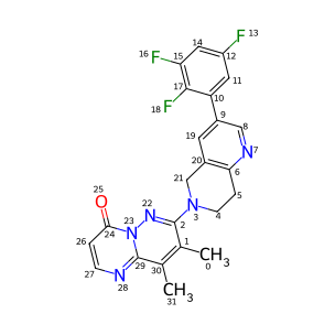 Cc1c(N2CCc3ncc(-c4cc(F)cc(F)c4F)cc3C2)nn2c(=O)ccnc2c1C